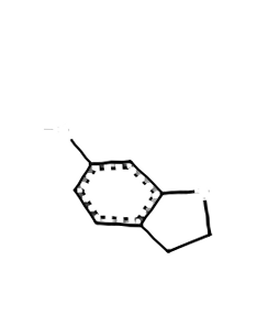 Oc1ccc2c(c1)OC[CH]2